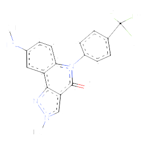 CNc1ccc2c(c1)c1nn(C)cc1c(=O)n2-c1ccc(C(F)(F)F)cc1